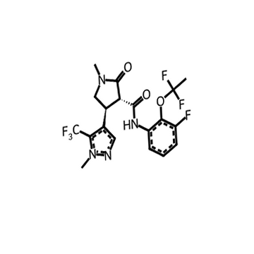 CN1C[C@H](c2cnn(C)c2C(F)(F)F)[C@@H](C(=O)Nc2cccc(F)c2OC(C)(F)F)C1=O